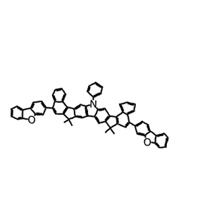 CC1(C)c2cc3c4cc5c(cc4n(-c4ccccc4)c3cc2-c2c1cc(-c1ccc3c(c1)oc1ccccc13)c1ccccc21)-c1c(cc(-c2ccc3c(c2)oc2ccccc23)c2ccccc12)C5(C)C